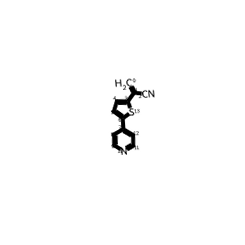 C=C(C#N)c1ccc(-c2ccncc2)s1